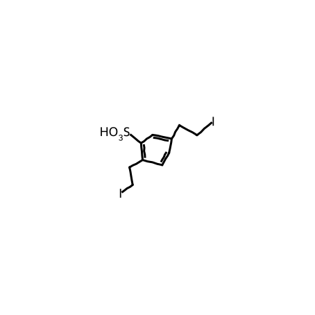 O=S(=O)(O)c1cc(CCI)ccc1CCI